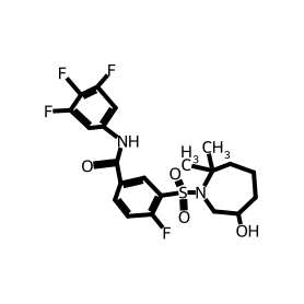 CC1(C)CCCC(O)CN1S(=O)(=O)c1cc(C(=O)Nc2cc(F)c(F)c(F)c2)ccc1F